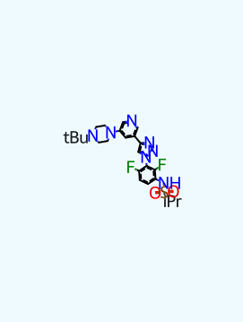 CC(C)S(=O)(=O)Nc1ccc(F)c(-n2cc(-c3cncc(N4CCN(C(C)(C)C)CC4)c3)nn2)c1F